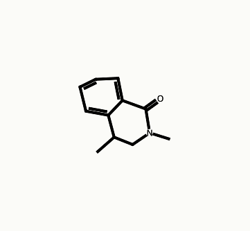 CC1CN(C)C(=O)c2ccccc21